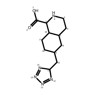 O=C(O)C1NCCC2CC(CC3N=NN=N3)CCC21